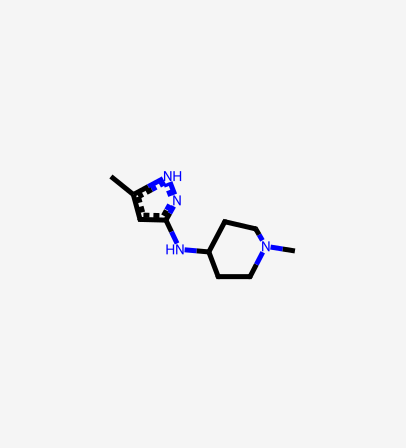 Cc1cc(NC2CCN(C)CC2)n[nH]1